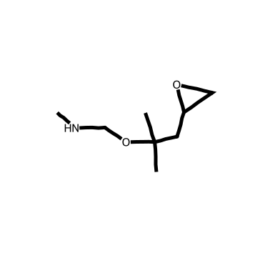 CNCOC(C)(C)CC1CO1